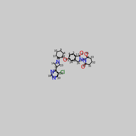 O=C1c2ccc(O[C@@H]3CCCC[C@H]3N3CC(c4ncncc4Cl)C3)cc2CN1N1C(=O)CCCC1=O